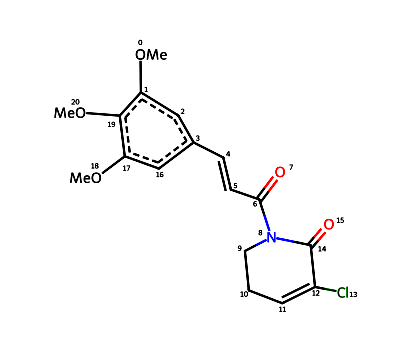 COc1cc(/C=C/C(=O)N2CCC=C(Cl)C2=O)cc(OC)c1OC